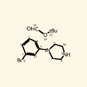 Brc1cccc(N2CCNCC2)c1.CC(C)(C)OC=O